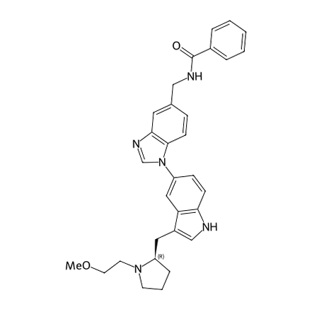 COCCN1CCC[C@@H]1Cc1c[nH]c2ccc(-n3cnc4cc(CNC(=O)c5ccccc5)ccc43)cc12